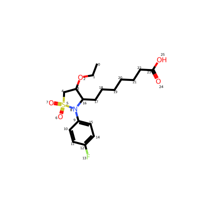 CCOC1CS(=O)(=O)N(c2ccc(F)cc2)C1CCCCCCC(=O)O